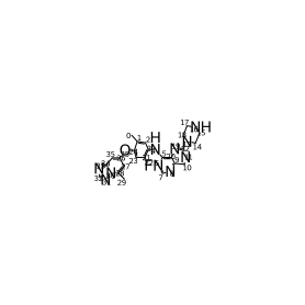 Cc1cc(Nc2ncnc3cnc(N4CCNCC4)nc23)c(F)cc1Oc1cc(C)n2ncnc2c1